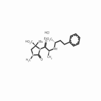 CCOC(=O)[C@H](CCc1ccccc1)N[C@@H](C)C(=O)N1C(=O)N(C)C[C@]1(C(=O)O)C(C)(C)C.Cl